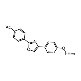 CCCCCCOc1ccc(-c2coc(-c3ccc(C(C)=O)cc3)n2)cc1